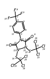 O=c1n(-c2ccc(C(F)(F)F)cc2)c(=O)n(SC(Cl)(Cl)Cl)n1SC(Cl)(Cl)Cl